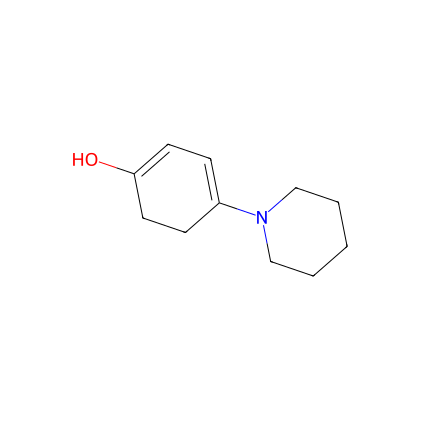 OC1=CC=C(N2CCCCC2)CC1